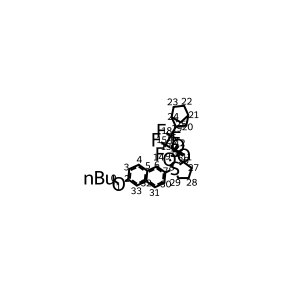 CCCCOc1ccc2cc(S3(OS(=O)(=O)C(F)(F)C(F)(F)C4CC5CCC4C5)CCCC3)ccc2c1